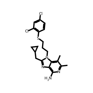 Cc1nc(N)c2nc(CC3CC3)n(CCCSc3ccc(Cl)cc3Cl)c2c1C